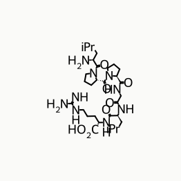 CC(C)C[C@H](NC(=O)CNC(=O)[C@@H]1CCCN1C(=O)[C@@H]1CCCN1C(=O)[C@@H](N)CC(C)C)C(=O)N[C@@H](CCCNC(=N)N)C(=O)O